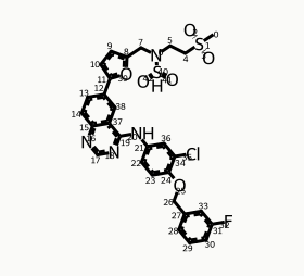 CS(=O)(=O)CCN(Cc1ccc(-c2ccc3ncnc(Nc4ccc(OCc5cccc(F)c5)c(Cl)c4)c3c2)o1)[SH](=O)=O